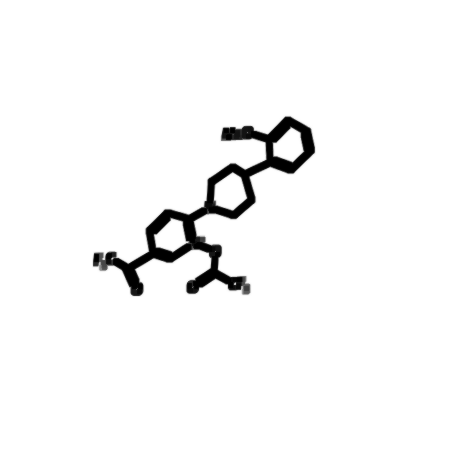 COc1ccccc1C1CCN(c2ccc(C(=O)C(F)(F)F)c[n+]2OC(=O)C(F)(F)F)CC1